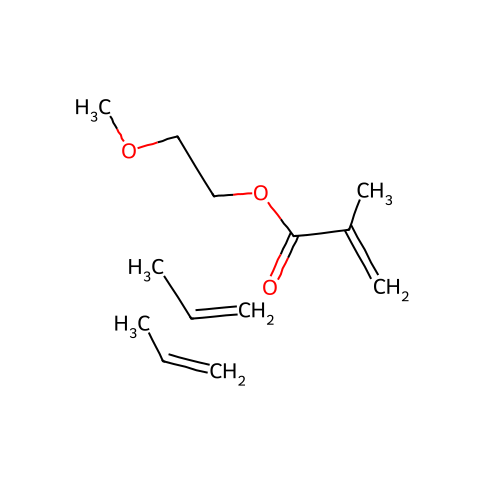 C=C(C)C(=O)OCCOC.C=CC.C=CC